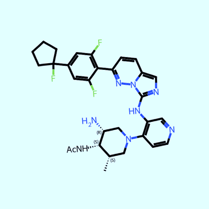 CC(=O)N[C@@H]1[C@H](N)CN(c2ccncc2Nc2ncc3ccc(-c4c(F)cc(C5(F)CCCC5)cc4F)nn23)C[C@@H]1C